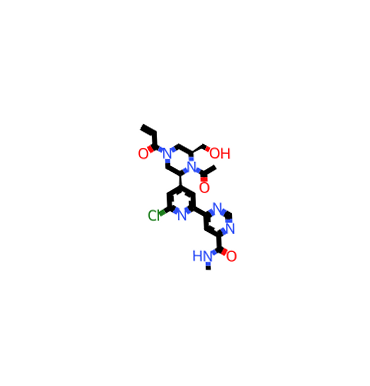 C=CC(=O)N1C[C@@H](CO)N(C(C)=O)[C@@H](c2cc(Cl)nc(-c3cc(C(=O)NC)ncn3)c2)C1